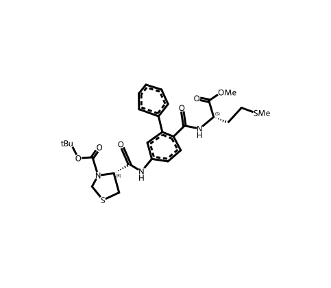 COC(=O)[C@H](CCSC)NC(=O)c1ccc(NC(=O)[C@@H]2CSCN2C(=O)OC(C)(C)C)cc1-c1ccccc1